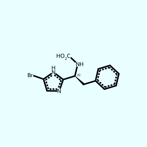 O=C(O)N[C@@H](Cc1ccccc1)c1ncc(Br)[nH]1